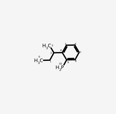 CCC(C)c1ccccc1P